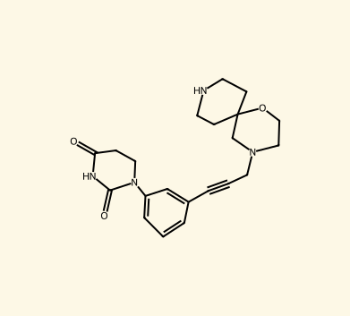 O=C1CCN(c2cccc(C#CCN3CCOC4(CCNCC4)C3)c2)C(=O)N1